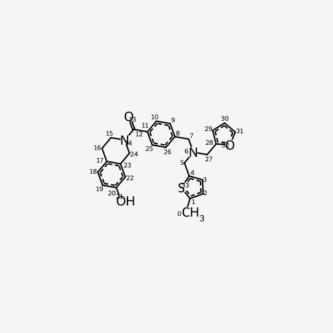 Cc1ccc(CN(Cc2ccc(C(=O)N3CCc4ccc(O)cc4C3)cc2)Cc2ccco2)s1